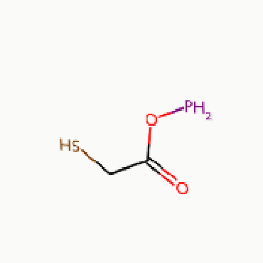 O=C(CS)OP